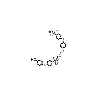 CCC(O)(CC)c1ccc(Sc2ccc(OCOCOC(CC)(CC)c3ccc(Sc4ccc(O)cc4)cc3)cc2)cc1